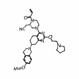 C=CC(=O)N1CCN(c2nc(OCCN3CCCC3)nc3c2CCC(N2CCc4cc(OC)ccc4C2)C3)CC1CC#N